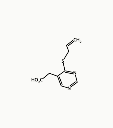 C=CCSc1ncncc1CC(=O)O